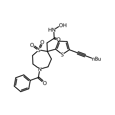 CCCCC#Cc1ccc(C2(CC(=O)NO)CCN(C(=O)c3ccccc3)CCS2(=O)=O)s1